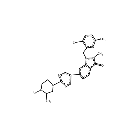 CC(=O)N1CCN(c2ncc(-c3ccc4c(=O)n(C)n(Cc5nc(C)ccc5Cl)c4c3)cn2)CC1C